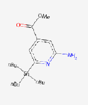 CCC[CH2][Sn]([CH2]CCC)([CH2]CCC)[c]1cc(C(=O)OC)cc(N)n1